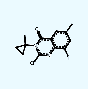 Cc1cc(I)c2nc(Cl)n(C3(C)CC3)c(=O)c2c1